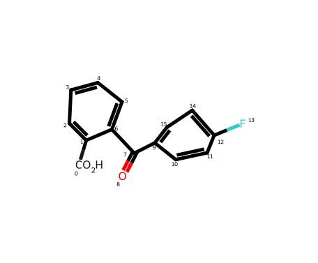 O=C(O)c1ccccc1C(=O)c1ccc(F)cc1